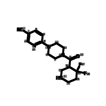 N#Cc1ccc(N2CCN(C(=O)C3CNCCC3(F)F)CC2)nc1